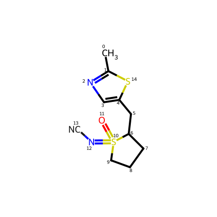 Cc1ncc(CC2CCCS2(=O)=NC#N)s1